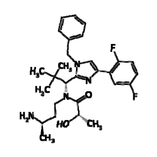 C[C@H](O)C(=O)N(CC[C@@H](C)N)[C@@H](c1nc(-c2cc(F)ccc2F)cn1Cc1ccccc1)C(C)(C)C